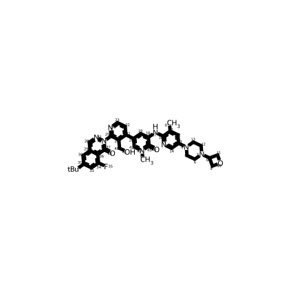 Cc1cc(N2CCN(C3COC3)CC2)cnc1Nc1cc(-c2ccnc(-n3ncc4cc(C(C)(C)C)cc(F)c4c3=O)c2CO)cn(C)c1=O